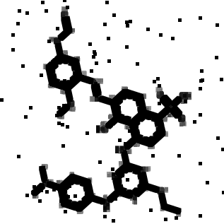 CCOc1nc(Nc2ccc(N(C)C)cc2)nc(Nc2ccc(S(=O)(=O)O)c3ccc(N=Nc4cc(OC=O)ccc4OC)c(O)c23)n1